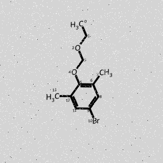 CCOCOc1c(C)cc(Br)cc1C